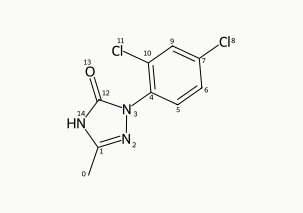 Cc1nn(-c2ccc(Cl)cc2Cl)c(=O)[nH]1